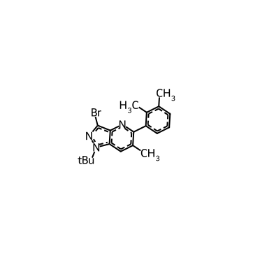 Cc1cc2c(nc1-c1cccc(C)c1C)c(Br)nn2C(C)(C)C